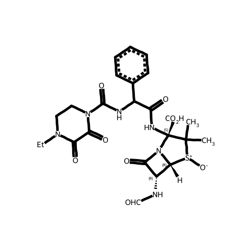 CCN1CCN(C(=O)NC(C(=O)N[C@@]2(C(=O)O)N3C(=O)[C@@H](NC=O)[C@H]3[S+]([O-])C2(C)C)c2ccccc2)C(=O)C1=O